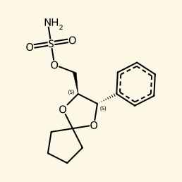 NS(=O)(=O)OC[C@@H]1OC2(CCCC2)O[C@H]1c1ccccc1